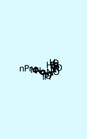 CCCN1CCN(c2ccc(C(=O)NC(CC(C)C)C(=O)N3CC[C@H]4OCC(=O)[C@H]43)cc2)CC1